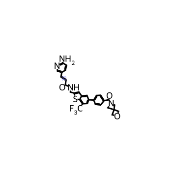 Nc1ccc(/C=C/C(=O)NCc2cc3cc(-c4ccc(C(=O)N5CC6(COC6)C5)cc4)cc(C(F)(F)F)c3s2)cn1